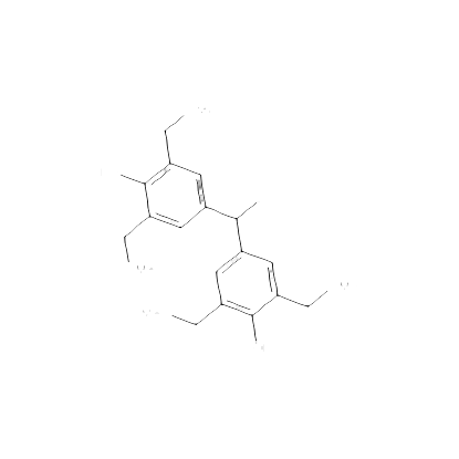 CCC(c1cc(COC)c(O)c(COC)c1)c1cc(COC)c(O)c(COC)c1